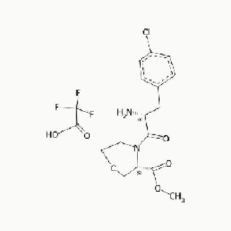 COC(=O)[C@@H]1CCCCN1C(=O)[C@H](N)Cc1ccc(Cl)cc1.O=C(O)C(F)(F)F